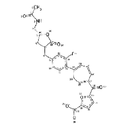 CC(=O)NC[C@H]1CC(Cc2ccc(C3=CC=CC(C(=O)c4ccc([N+](=O)[O-])o4)=CC3)c(F)c2)C(=O)O1